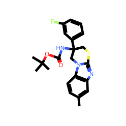 Cc1ccc2c(c1)nc1n2CC(NC(=O)OC(C)(C)C)(c2cccc(F)c2)CS1